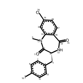 CN1C(=O)[C@@H](Cc2ccc(I)cc2)NC(=O)c2ccc(Cl)cc21